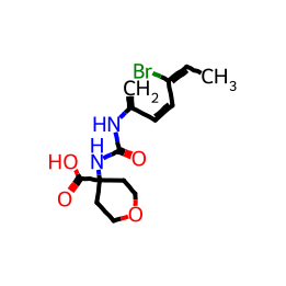 C=C(/C=C\C(Br)=C/C)NC(=O)NC1(C(=O)O)CCOCC1